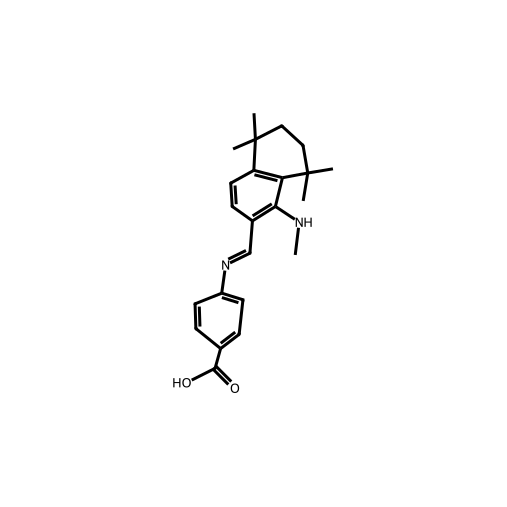 CNc1c(C=Nc2ccc(C(=O)O)cc2)ccc2c1C(C)(C)CCC2(C)C